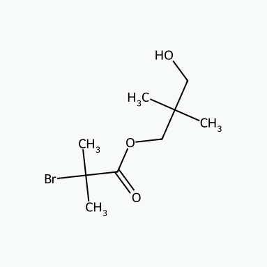 CC(C)(CO)COC(=O)C(C)(C)Br